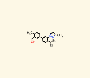 CCC(CC)c1ccc(-c2ccc(C)c(CO)c2)cc1-n1ccc(C)n1